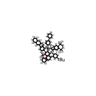 CC(C)(C)c1ccc(N2c3cc4c(c5c3B(c3oc6cc7c(cc6c32)C(C)(C)CCC7(C)C)N(c2ccc(-c3ccccc3)cc2)c2c-5ccc3c2sc2cc5ccccc5cc23)C(C)(C)c2ccccc2-4)c(-c2ccccc2)c1